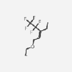 [CH2]COCC=C(CC)C(F)(F)C(F)(F)F